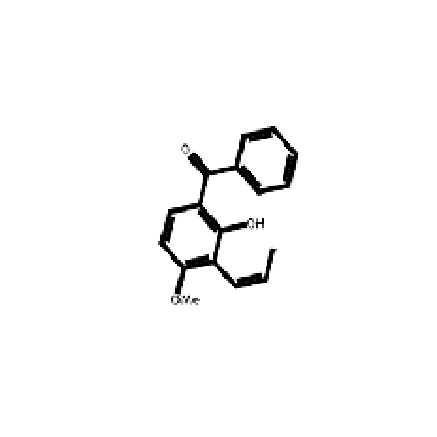 C/C=C\c1c(OC)ccc(C(=O)c2ccccc2)c1O